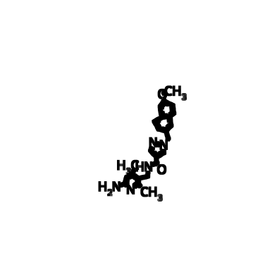 COc1ccc2cc(Cn3cc(C(=O)NCc4c(C)cc(N)nc4C)cn3)ccc2c1